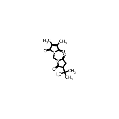 CC1=C(C)C(=O)N(CN2C(=O)CC(C(C)(C)C)C2=O)C1=O